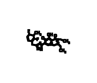 CCN1Cn2cc(-c3nnc(CC4=C(F)C(C)C(F)C=C4)s3)c(=O)c(O)c2C(=O)N1CC